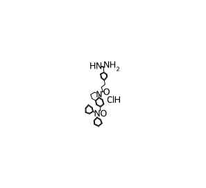 Cl.N=C(N)c1ccc(CCC(=O)N2CCCc3cc(C(=O)N(c4ccccc4)c4ccccc4)ccc32)cc1